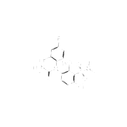 CN(C)S(=O)(=O)c1c(Cl)ccc(N(C(N)=S)c2ccc(F)cc2Cl)c1O